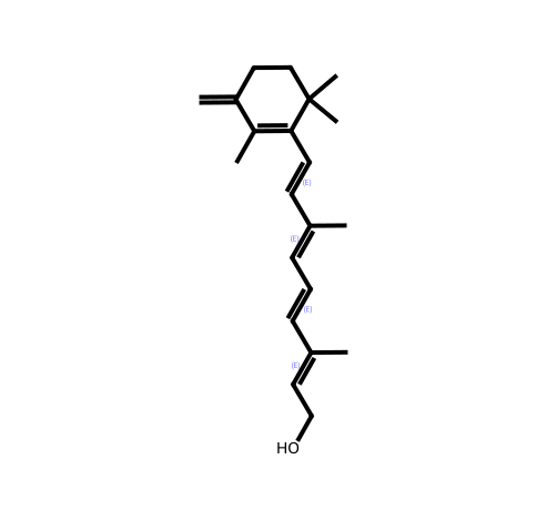 C=C1CCC(C)(C)C(/C=C/C(C)=C/C=C/C(C)=C/CO)=C1C